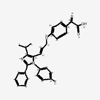 CC(C)c1nc(-c2ccccc2)n(-c2ccc(F)cc2)c1C=CCOc1ccc(C(=O)C(=O)O)cc1